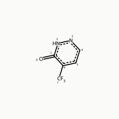 O=c1[nH]nccc1C(F)(F)F